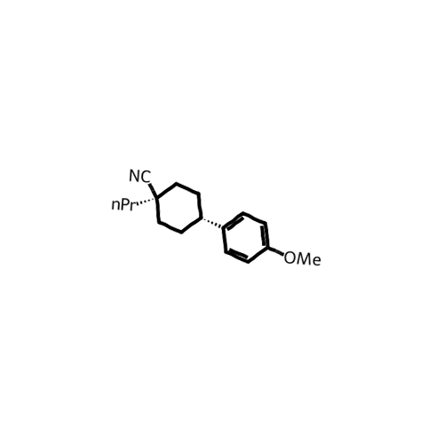 CCC[C@]1(C#N)CC[C@H](c2ccc(OC)cc2)CC1